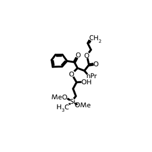 C=CCOC(=O)C(CCC)C(OC(O)CC[Si](C)(OC)OC)C(=O)c1ccccc1